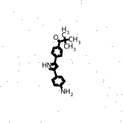 CC(C)(C)C(=O)c1ccc(-c2cc(-c3ccc(N)cc3)c[nH]2)cc1